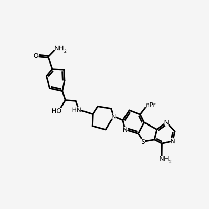 CCCc1cc(N2CCC(NCC(O)c3ccc(C(N)=O)cc3)CC2)nc2sc3c(N)ncnc3c12